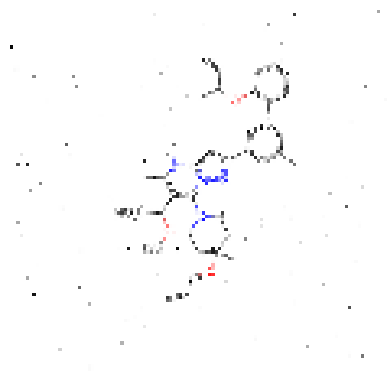 C=CCOC1(C)CCN(c2c(C(OC(C)(C)C)C(=O)O)c(C)nc3cc(-c4cc(C)cc(-c5ccccc5OC(C)C=C)c4)nn23)CC1